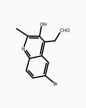 Cc1nc2ccc(Br)cc2c(CC=O)c1O